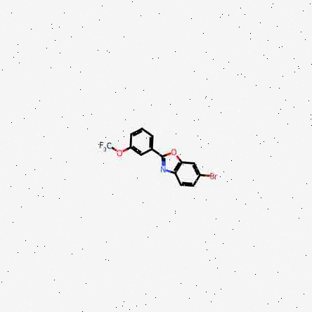 FC(F)(F)Oc1cccc(-c2nc3ccc(Br)cc3o2)c1